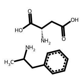 CC(N)Cc1ccccc1.N[C@@H](CC(=O)O)C(=O)O